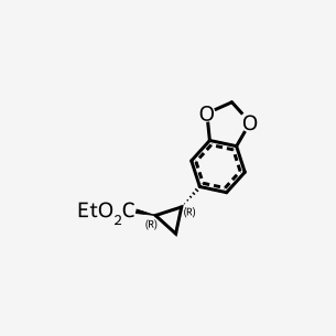 CCOC(=O)[C@@H]1C[C@H]1c1ccc2c(c1)OCO2